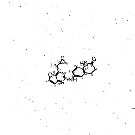 O=C1CCc2cc(Nc3nc(NC4CC4)c4occc4n3)ccc2N1